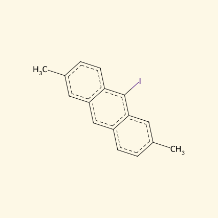 Cc1ccc2c(I)c3cc(C)ccc3cc2c1